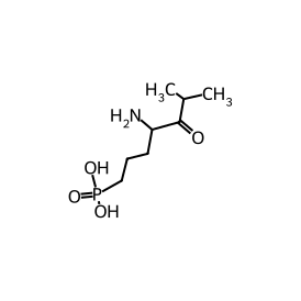 CC(C)C(=O)C(N)CCCP(=O)(O)O